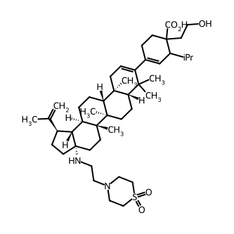 C=C(C)[C@@H]1CC[C@]2(NCCN3CCS(=O)(=O)CC3)CC[C@]3(C)[C@H](CC[C@@H]4[C@@]5(C)CC=C(C6=CC(C(C)C)C(CCO)(C(=O)O)CC6)C(C)(C)[C@@H]5CC[C@]43C)[C@@H]12